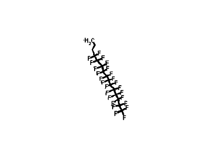 [CH2]CCC(F)(F)C(F)(F)C(F)(F)C(F)(F)C(F)(F)C(F)(F)C(F)(F)C(F)(F)C(F)(F)C(F)(F)C(F)(F)C(F)(F)F